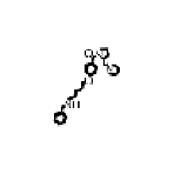 O=C(c1ccc(OCCCCCNCc2ccccc2)cc1)N1CCC[C@H]1CN1CCCC1